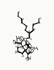 CCCCCCC(CCCC)COC(=O)C1(C(=O)O)CCCC1(C(=O)O)C(=O)O